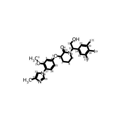 COc1cc(OC2CCCN(C(CO)c3cc(F)c(I)c(I)c3)C2=O)ccc1-n1cnc(C)c1